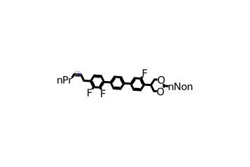 CCC/C=C\Cc1ccc(-c2ccc(-c3ccc(C4COC(CCCCCCCCC)OC4)c(F)c3)cc2)c(F)c1F